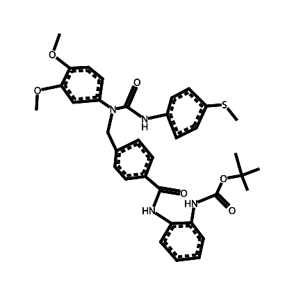 COc1ccc(N(Cc2ccc(C(=O)Nc3ccccc3NC(=O)OC(C)(C)C)cc2)C(=O)Nc2ccc(SC)cc2)cc1OC